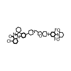 O=C1CCCC(=O)N1c1c(F)cc(N2CCC3(CC2)CC(CN2CCC(c4ccc5c(c4)C4(CCCCC4)c4nc(=O)c6c(Cl)cccc6n4-5)CC2)CO3)cc1F